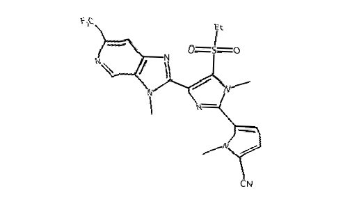 CCS(=O)(=O)c1c(-c2nc3cc(C(F)(F)F)ncc3n2C)nc(-c2ccc(C#N)n2C)n1C